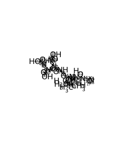 CC(C)(C)[Si](F)(c1cc(NCC(=O)NCc2cccnc2)nn1CCOCCNC(=O)CN1CCN(CC(=O)O)CCN(CC(=O)O)CCN(CC(=O)O)CC1)C(C)(C)C